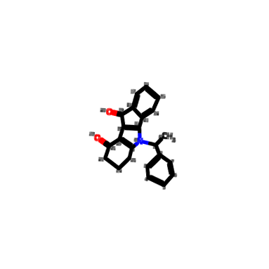 CC(c1ccccc1)n1c2c(c3c1-c1ccccc1C3=O)C(=O)CCC2